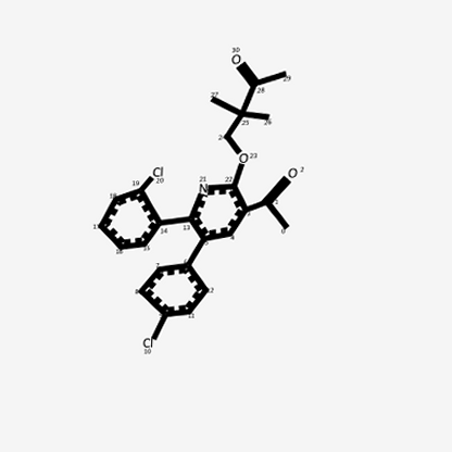 CC(=O)c1cc(-c2ccc(Cl)cc2)c(-c2ccccc2Cl)nc1OCC(C)(C)C(C)=O